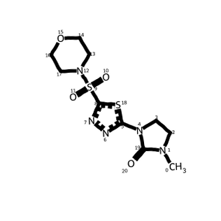 CN1CCN(c2nnc(S(=O)(=O)N3CCOCC3)s2)C1=O